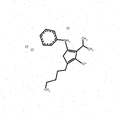 CCCCCC1=[C]([Ti+3])C(C(C)C)=C([SiH2]c2ccccc2)C1.[Cl-].[Cl-].[Cl-]